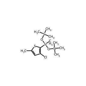 Cc1cc(Cl)c([Si](C)(O[Si](C)(C)C)O[Si](C)(C)C)s1